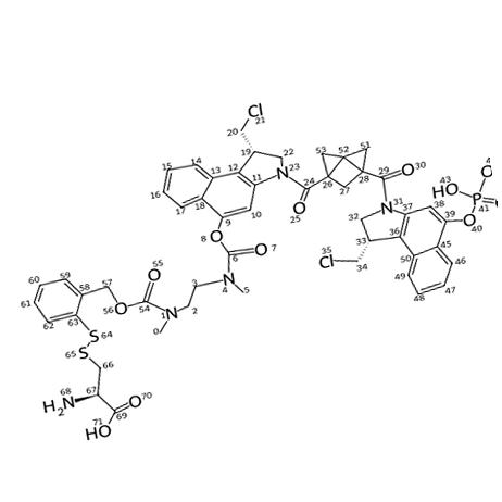 CN(CCN(C)C(=O)Oc1cc2c(c3ccccc13)[C@H](CCl)CN2C(=O)C12CC3(C(=O)N4C[C@@H](CCl)c5c4cc(OP(=O)(O)O)c4ccccc54)CC13C2)C(=O)OCc1ccccc1SSC[C@H](N)C(=O)O